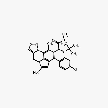 COC(=O)[C@@H](OC(C)(C)C)c1c(C)c2c3c(cc(C)n3Cc3cnnn3-2)c1-c1ccc(Cl)cc1